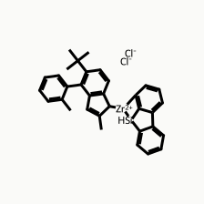 CC1=Cc2c(ccc(C(C)(C)C)c2-c2ccccc2C)[CH]1[Zr+2]1[c]2cccc3c2[SiH]1c1ccccc1-3.[Cl-].[Cl-]